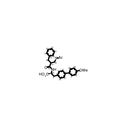 COc1ccc(-c2ccc(C[C@H](NC(=O)C(CSC(C)=O)Cc3ccccc3)C(=O)O)cc2)cc1